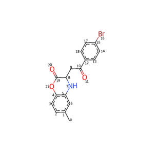 Cc1ccc2c(c1)NC(CC(=O)c1ccc(Br)cc1)C(=O)O2